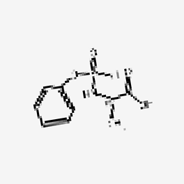 C[C@@H](NP(=O)(Cl)Oc1ccccc1)C(=O)O